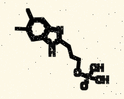 Cc1cc2nc(CCCOP(=O)(O)O)[nH]c2cc1C